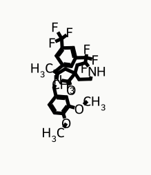 COc1ccc(CN(Cc2cc(C(F)(F)F)cc(C(F)(F)F)c2)C(=O)C2(CC(C)C)CCNCC2)cc1OC